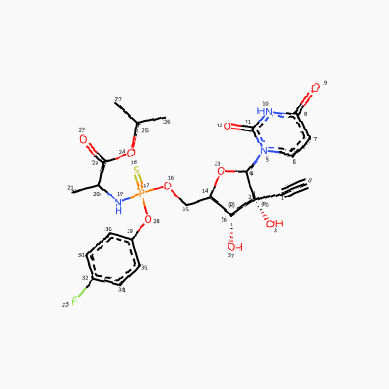 C#C[C@]1(O)C(n2ccc(=O)[nH]c2=O)OC(COP(=S)(NC(C)C(=O)OC(C)C)Oc2ccc(F)cc2)[C@H]1O